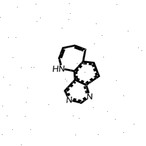 C1=CNc2c(ccc3ncncc23)C=C1